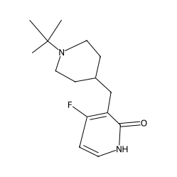 CC(C)(C)N1CCC(Cc2c(F)cc[nH]c2=O)CC1